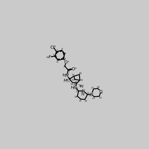 O=C(COc1ccc(Cl)c(F)c1)N[C@@H]1C[C@H](NC2CCCC(N3CCOCC3)N2)C2CC1C2